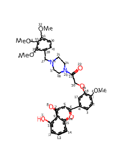 COc1ccc(-c2cc(=O)c3c(O)cccc3o2)cc1OCC(=O)N1CCN(Cc2ccc(OC)c(OC)c2OC)CC1